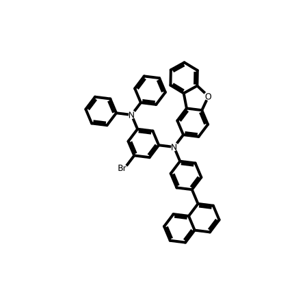 Brc1cc(N(c2ccccc2)c2ccccc2)cc(N(c2ccc(-c3cccc4ccccc34)cc2)c2ccc3oc4ccccc4c3c2)c1